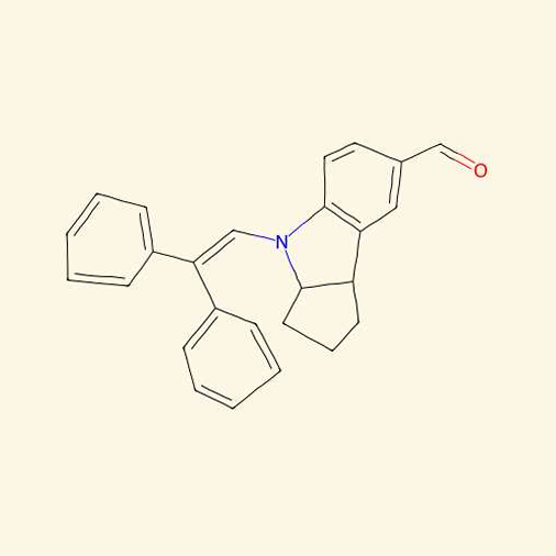 O=Cc1ccc2c(c1)C1CCCC1N2C=C(c1ccccc1)c1ccccc1